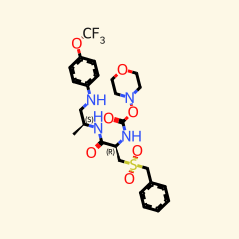 C[C@@H](CNc1ccc(OC(F)(F)F)cc1)NC(=O)[C@H](CS(=O)(=O)Cc1ccccc1)NC(=O)ON1CCOCC1